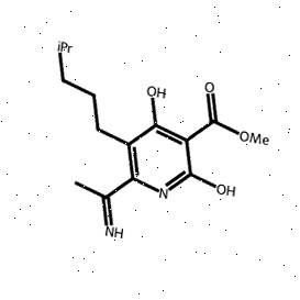 COC(=O)c1c(O)nc(C(C)=N)c(CCCC(C)C)c1O